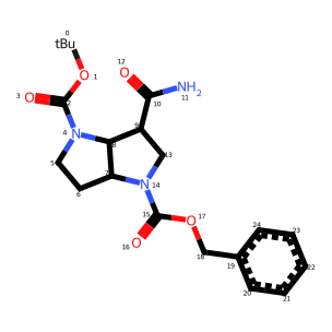 CC(C)(C)OC(=O)N1CCC2C1C(C(N)=O)CN2C(=O)OCc1ccccc1